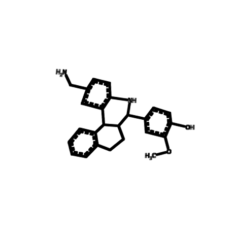 COc1cc(C2Nc3ccc(CN)cc3C3c4ccccc4CCC23)ccc1O